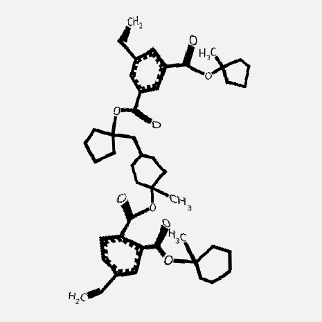 C=Cc1cc(C(=O)OC2(C)CCCC2)cc(C(=O)OC2(CC3CCC(C)(OC(=O)c4ccc(C=C)cc4C(=O)OC4(C)CCCCC4)CC3)CCCC2)c1